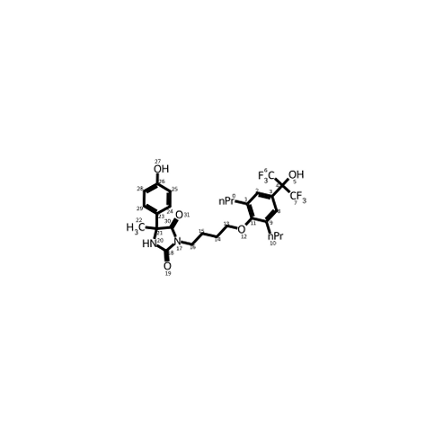 CCCc1cc(C(O)(C(F)(F)F)C(F)(F)F)cc(CCC)c1OCCCCN1C(=O)NC(C)(c2ccc(O)cc2)C1=O